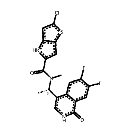 C[C@@H](c1c[nH]c(=O)c2cc(F)c(F)cc12)N(C)C(=O)c1cc2sc(Cl)cc2[nH]1